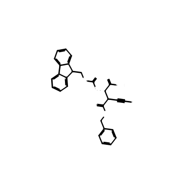 CC#CC(C(=O)OCc1ccccc1)[C@H](NC(=O)OCC1c2ccccc2-c2ccccc21)C(=O)O